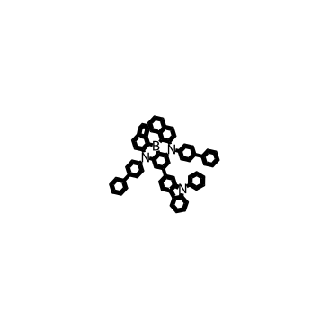 c1ccc(-c2ccc(N3c4cc(-c5ccc6c7ccccc7n(-c7ccccc7)c6c5)cc5c4B(c4c3ccc3ccccc43)c3c(ccc4ccccc34)N5c3ccc(-c4ccccc4)cc3)cc2)cc1